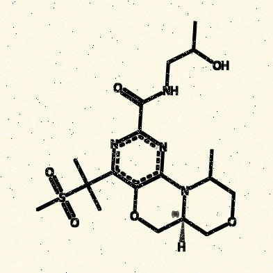 CC(O)CNC(=O)c1nc2c(c(C(C)(C)S(C)(=O)=O)n1)OC[C@@H]1COCC(C)N21